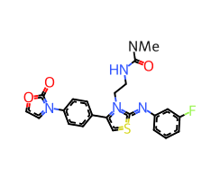 CNC(=O)NCCn1c(-c2ccc(-n3ccoc3=O)cc2)csc1=Nc1cccc(F)c1